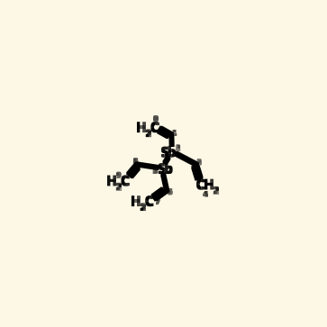 C=[CH][Sb]([CH]=C)[Sb]([CH]=C)[CH]=C